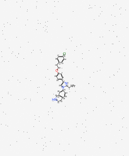 CC(C)Cc1nc(-c2ccc(OCCc3ccc(Cl)cc3)cc2)cn1-c1ccc2c(c1)CNCC2